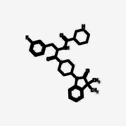 CC1(C)C(=O)N(C2CCN(C(=O)C(Cc3cccc(F)c3)NC(=O)C3CCCNC3)CC2)c2ccccc21